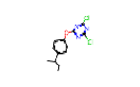 CCC(C)c1ccc(Oc2nc(Cl)nc(Cl)n2)cc1